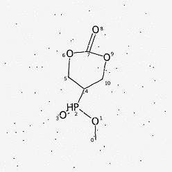 CO[PH](=O)C1COC(=O)OC1